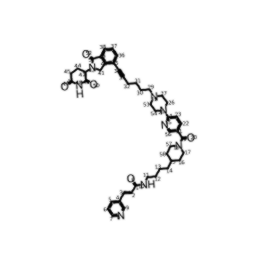 O=C(/C=C/c1cccnc1)NCCCCC1CCN(C(=O)c2ccc(N3CCN(CCCCC#Cc4cccc5c4CN(C4CCC(=O)NC4=O)C5=O)CC3)nc2)CC1